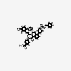 O=C(O)c1ccc(NC(=O)C2c3cccc(C4CCN(C(=O)OCc5ccccc5)CC4)c3CCN2C(=O)/C=C/c2c(-n3cnnn3)ccc(Cl)c2F)cc1